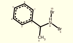 CC(c1ccccc1)[SiH](Br)Br